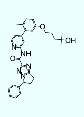 Cc1ccc(OCCCC(C)(C)O)cc1-c1ccnc(NC(=O)c2nc3n(n2)C(c2ccccc2)CC3)c1